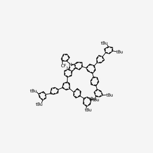 CC(C)(C)c1cc(-c2ccc(-c3cc(-c4ccc(-c5cc(C(C)(C)C)cc(C(C)(C)C)c5)cc4)cc(-c4ccc5c(c4)c4cc(-c6cc(-c7ccc(-c8cc(C(C)(C)C)cc(C(C)(C)C)c8)cc7)cc(-c7ccc(-c8cc(C(C)(C)C)cc(C(C)(C)C)c8)cc7)c6)ccc4n5-c4ccccc4C(F)(F)F)c3)cc2)cc(C(C)(C)C)c1